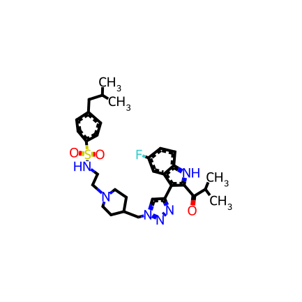 CC(C)Cc1ccc(S(=O)(=O)NCCN2CCC(Cn3cc(-c4c(C(=O)C(C)C)[nH]c5ccc(F)cc45)nn3)CC2)cc1